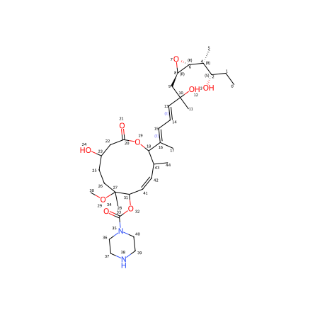 CC[C@H](O)[C@@H](C)[C@H]1O[C@@H]1CC(C)(O)/C=C/C=C(\C)C1OC(=O)CC(O)CCC(C)(OC)C(OC(=O)N2CCNCC2)C=CC1C